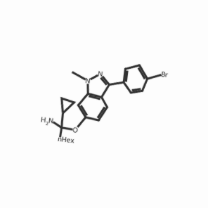 CCCCCCC(N)(Oc1ccc2c(-c3ccc(Br)cc3)nn(C)c2c1)C1CC1